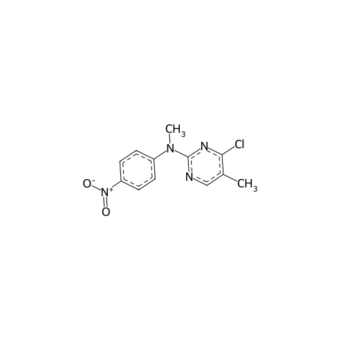 Cc1cnc(N(C)c2ccc([N+](=O)[O-])cc2)nc1Cl